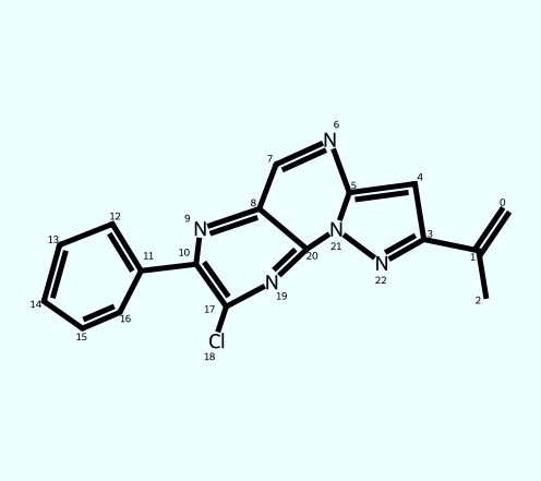 C=C(C)c1cc2ncc3nc(-c4ccccc4)c(Cl)nc3n2n1